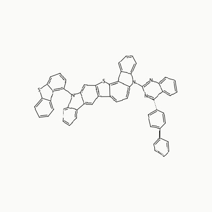 c1ccc(-c2ccc(-c3nc(-n4c5ccccc5c5c6sc7cc8c(cc7c6ccc54)c4ccccc4n8-c4cccc5sc6ccccc6c45)nc4ccccc34)cc2)cc1